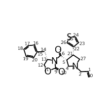 C=CCN1C[C@H](C(=O)N2C(=O)OC[C@@H]2Cc2ccccc2)[C@H](c2ccsc2)C1